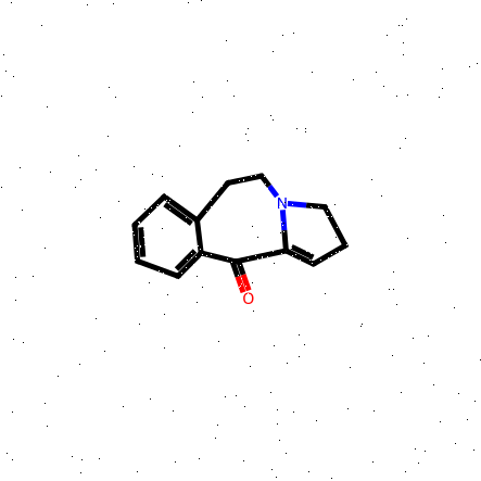 O=C1C2=CCCN2CCc2ccccc21